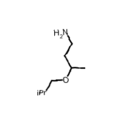 CC(C)COC(C)CCN